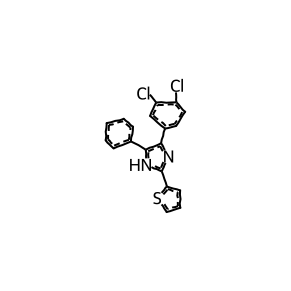 Clc1ccc(-c2nc(-c3cccs3)[nH]c2-c2ccccc2)cc1Cl